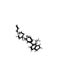 C=CCN1CCC(Oc2cc(-c3ccc4c(c3N)CCC4)ccn2)CC1